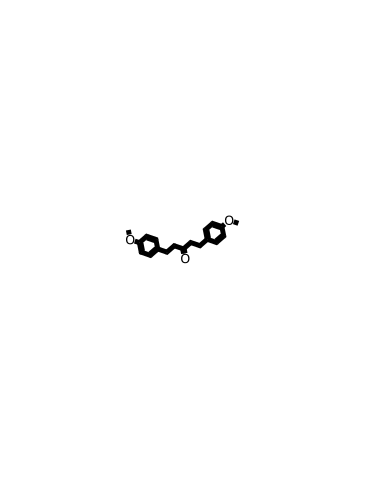 COc1ccc(CCC(=O)CCc2ccc(OC)cc2)cc1